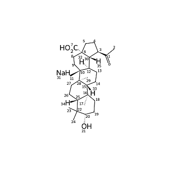 C=C(C)[C@@H]1CC[C@]2(C(=O)O)CC[C@]3(C)[C@H](CC[C@@H]4[C@@]5(C)CC[C@H](O)C(C)(C)[C@@H]5CC[C@]43C)[C@@H]12.[NaH]